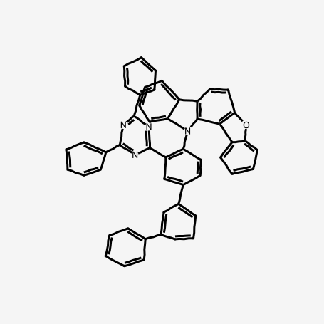 c1ccc(-c2cccc(-c3ccc(-n4c5ccccc5c5ccc6oc7ccccc7c6c54)c(-c4nc(-c5ccccc5)nc(-c5ccccc5)n4)c3)c2)cc1